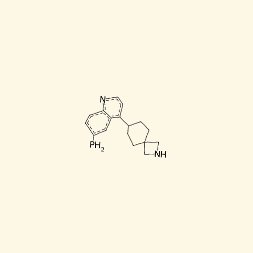 Pc1ccc2nccc(C3CCC4(CC3)CNC4)c2c1